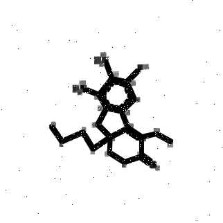 CCCCC12CCC(=O)C(CC)=C1c1cc(F)c(N)c(N)c1C2